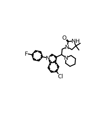 CC1(C)CN(CC(c2cn(-c3ccc(F)cc3)c3ccc(Cl)cc23)N2CCCCC2)C(=O)N1